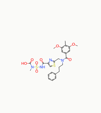 COc1cc(C(=O)N(CCCc2ccccc2)Cc2nc(C(=O)NS(=O)(=O)N(C)C(=O)O)cs2)cc(OC)c1C